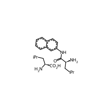 CC(C)C[C@H](N)C(=O)Nc1ccc2ccccc2c1.CC(C)C[C@H](N)C(=O)O